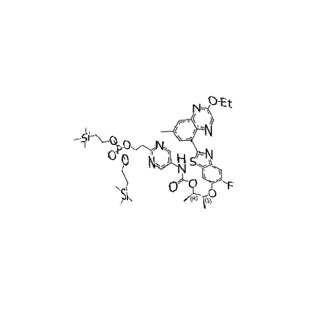 CCOc1cnc2c(-c3nc4cc(F)c(O[C@@H](C)[C@@H](C)OC(=O)Nc5cnc(CCOP(=O)(OCC[Si](C)(C)C)OCC[Si](C)(C)C)nc5)cc4s3)cc(C)cc2n1